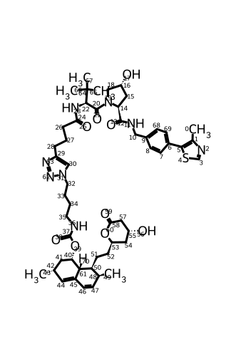 Cc1ncsc1-c1ccc(CNC(=O)[C@@H]2C[C@@H](O)CN2C(=O)[C@@H](NC(=O)CCCc2cn(CCCCNC(=O)O[C@H]3C[C@@H](C)C=C4C=C[C@H](C)[C@H](CC[C@@H]5C[C@@H](O)CC(=O)O5)[C@H]43)nn2)C(C)(C)C)cc1